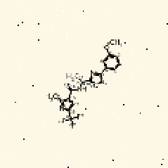 COc1cccc(-c2noc([C@H](C)NC(=O)c3cc(C(F)(F)F)nn3C)n2)c1